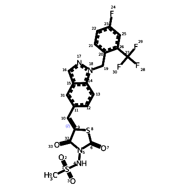 CS(=O)(=O)NN1C(=O)S/C(=C\c2ccc3c(cnn3Cc3ccc(F)cc3C(F)(F)F)c2)C1=O